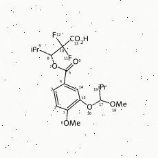 COc1ccc(C(=O)OC(C(C)C)C(F)(F)C(=O)O)cc1OC(OC)C(C)C